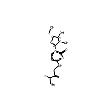 CCCCC(CC)C(=O)ONc1ccn([C@@H]2O[C@H](CO)[C@@H](O)[C@H]2O)c(=O)n1